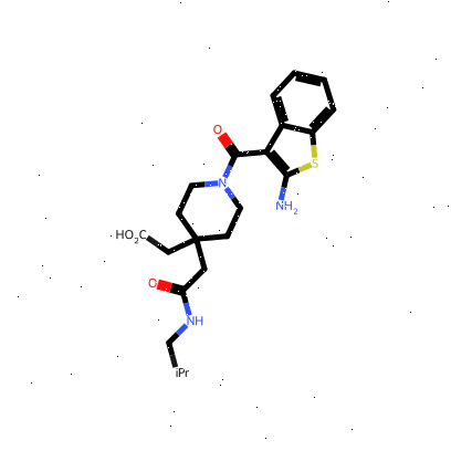 CC(C)CNC(=O)CC1(CC(=O)O)CCN(C(=O)c2c(N)sc3ccccc23)CC1